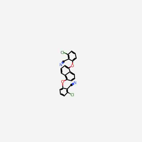 N#Cc1c(Cl)cccc1Oc1cccc2c(Oc3cccc(Cl)c3C#N)cccc12